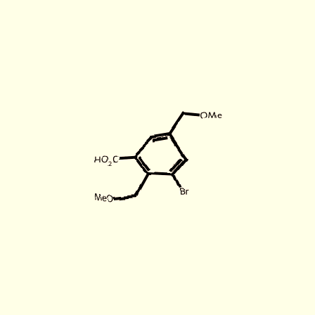 COCc1cc(Br)c(COC)c(C(=O)O)c1